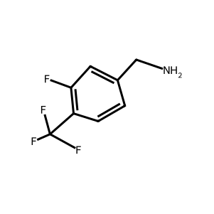 NCc1ccc(C(F)(F)F)c(F)c1